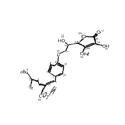 CCCCC(CC)CC(=Cc1ccc(OC[C@@H](O)[C@H]2OC(=O)C(O)=C2O)cc1)C(=O)O